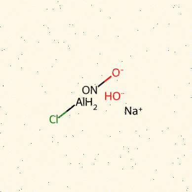 O=[NH+][O-].[AlH2][Cl].[Na+].[OH-]